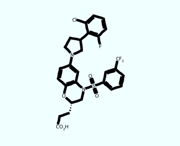 O=C(O)CC[C@H]1CN(S(=O)(=O)c2cccc(C(F)(F)F)c2)c2cc(N3CCC(c4c(F)cccc4Cl)C3)ccc2O1